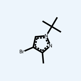 Cc1nn(C(C)(C)C)cc1Br